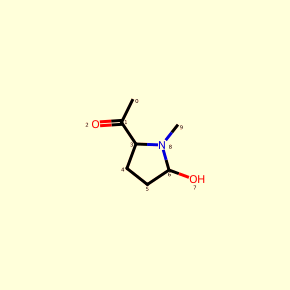 CC(=O)C1CCC(O)N1C